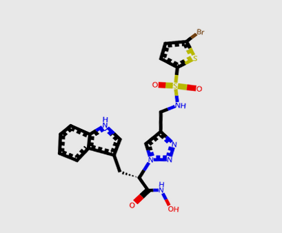 O=C(NO)[C@H](Cc1c[nH]c2ccccc12)n1cc(CNS(=O)(=O)c2ccc(Br)s2)nn1